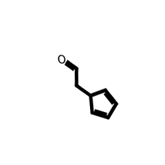 O=CCC1C=CC=C1